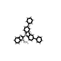 Cn1c(-n2c3ccc(-c4ccccc4)cc3c3cc(-c4ccccc4)ccc32)nc2ccccc21